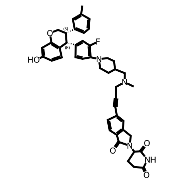 Cc1cccc([C@H]2COc3cc(O)ccc3[C@H]2c2ccc(N3CCC(CN(C)CC#Cc4ccc5c(c4)CN(C4CCC(=O)NC4=O)C5=O)CC3)c(F)c2)c1